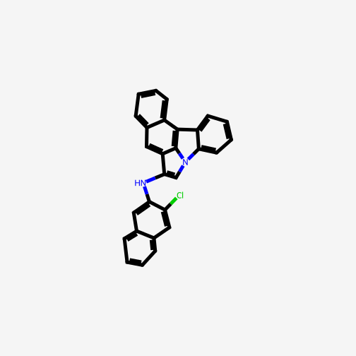 Clc1cc2ccccc2cc1Nc1cn2c3ccccc3c3c4ccccc4cc1c32